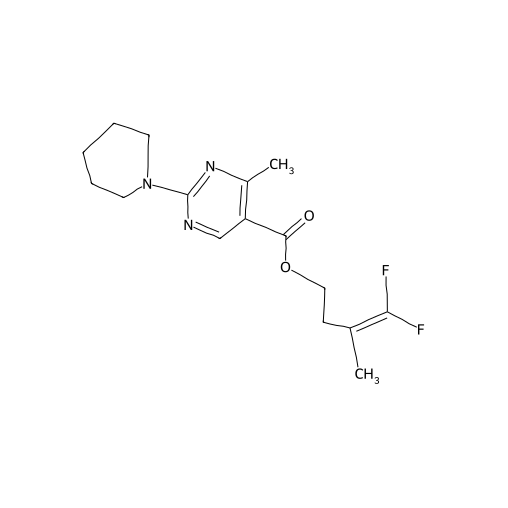 CC(CCOC(=O)c1cnc(N2CCCCC2)nc1C)=C(F)F